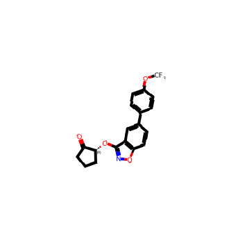 O=C1CCC[C@H]1Oc1noc2ccc(-c3ccc(OC(F)(F)F)cc3)cc12